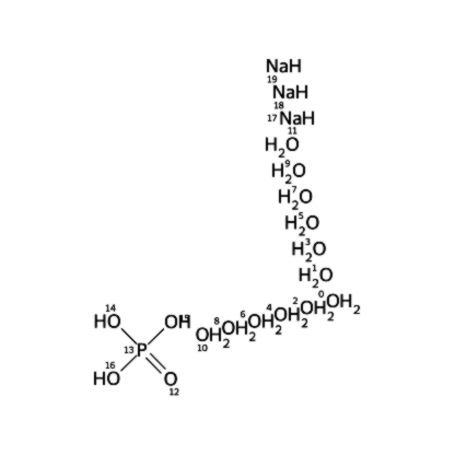 O.O.O.O.O.O.O.O.O.O.O.O.O=P(O)(O)O.[NaH].[NaH].[NaH]